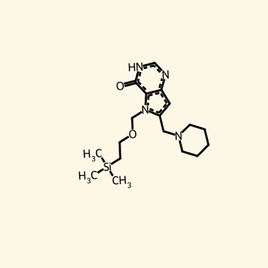 C[Si](C)(C)CCOCn1c(CN2CCCCC2)cc2nc[nH]c(=O)c21